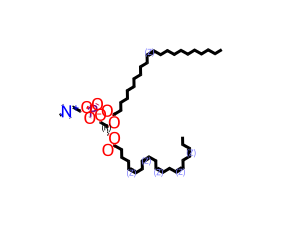 CC/C=C\C/C=C\C/C=C\C/C=C\C/C=C\CCCC(=O)OC[C@H](COP(=O)([O-])OCC[N+](C)(C)C)OC(=O)CCCCCCCCC/C=C\CCCCCCCCCC